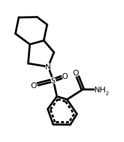 NC(=O)c1ccccc1S(=O)(=O)N1CC2CCCCC2C1